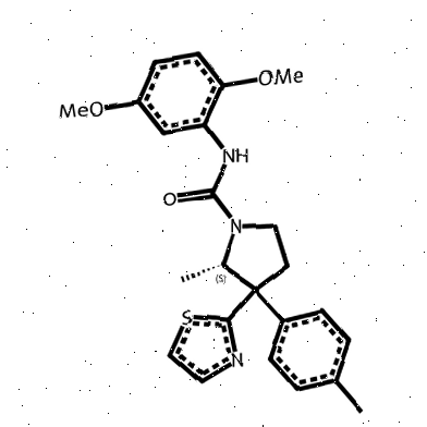 COc1ccc(OC)c(NC(=O)N2CCC(c3ccc(C)cc3)(c3nccs3)[C@@H]2C)c1